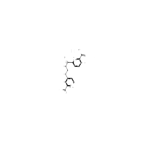 CC(C)c1cc(CCCC(C)c2cccc(C(C)C)n2)ccn1